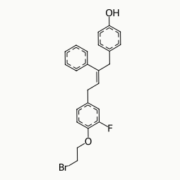 Oc1ccc(CC(=CCc2ccc(OCCBr)c(F)c2)c2ccccc2)cc1